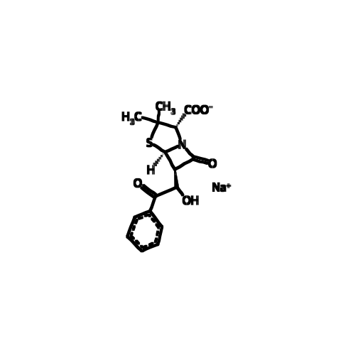 CC1(C)S[C@@H]2[C@H](C(O)C(=O)c3ccccc3)C(=O)N2[C@H]1C(=O)[O-].[Na+]